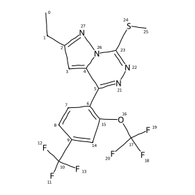 CCc1cc2c(-c3ccc(C(F)(F)F)cc3OC(F)(F)F)nnc(SC)n2n1